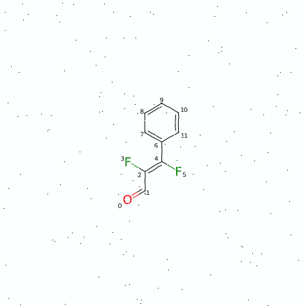 O=[C]C(F)=C(F)c1ccccc1